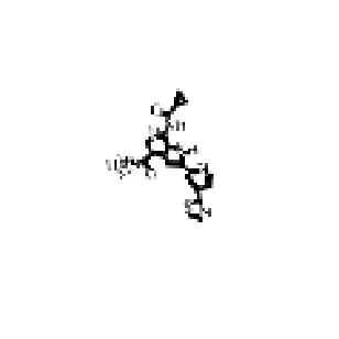 CNC(=O)c1cnc(NC(=O)C2CC2)c2[nH]c(-c3cc(-c4nccs4)ccn3)cc12